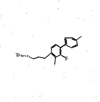 CCCC(C)CCCc1ccc(-c2ccc(C)cc2)c(F)c1F